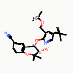 C[SiH](C)OCc1cc(C(C)(C)C)cnc1O[C@@H]1c2cc(C#N)ccc2OC(C)(C)[C@H]1O